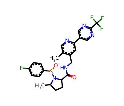 Cc1cnc(-c2cnc(C(F)(F)F)nc2)cc1CNC(=O)C1CCC(C)N1[S+]([O-])c1ccc(F)cc1